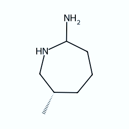 C[C@H]1CCCC(N)NC1